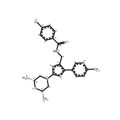 Cc1ccc(-c2sc(N3C[C@@H](C)O[C@@H](C)C3)nc2CNC(=O)c2ccc(Cl)cc2)cn1